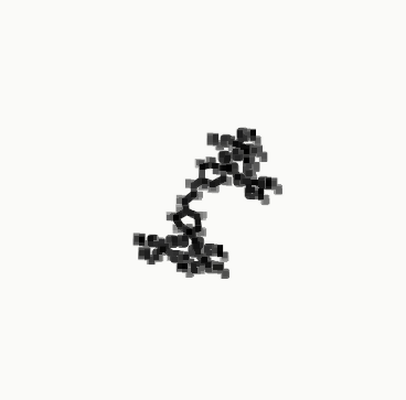 CC(C)(C)OOC1(OOC(C)(C)C)CCC(CCCC2CCC(OOC(C)(C)C)(OOC(C)(C)C)CC2)CC1